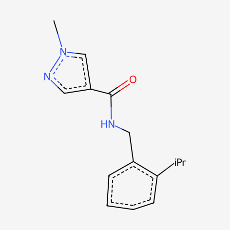 CC(C)c1ccccc1CNC(=O)c1cnn(C)c1